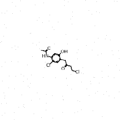 CC(=O)Nc1cc(O)c(CC(=O)CCCl)cc1Cl